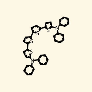 c1ccc(N(c2ccccc2)c2ccc(-c3ccc(-c4ccc(-c5ccc(N(c6ccccc6)c6ccccc6)s5)s4)s3)s2)cc1